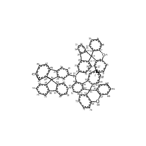 c1ccc2c(c1)Oc1ccccc1C21c2ccccc2-c2cc(N(c3ccc4c(c3)C3(c5ccccc5-c5ccccc53)c3ccccc3-4)c3cccc4c3-c3ccccc3C43c4ccccc4Oc4ccccc43)ccc21